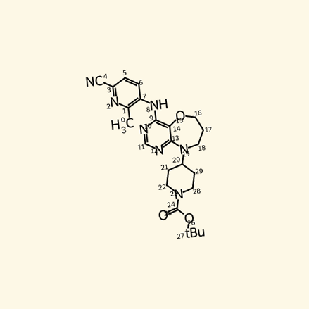 Cc1nc(C#N)ccc1Nc1ncnc2c1OCCCN2C1CCN(C(=O)OC(C)(C)C)CC1